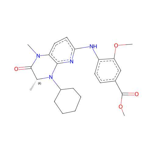 COC(=O)c1ccc(Nc2ccc3c(n2)N(C2CCCCC2)[C@H](C)C(=O)N3C)c(OC)c1